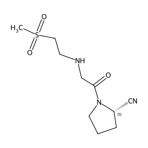 CS(=O)(=O)CCNCC(=O)N1CCC[C@H]1C#N